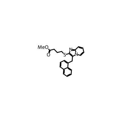 COC(=O)CCCSc1nc2ccccn2c1Cc1cccc2ccccc12